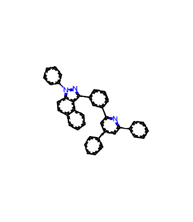 c1ccc(-c2cc(-c3ccccc3)nc(-c3cccc(-c4nn(-c5ccccc5)c5ccc6ccccc6c45)c3)c2)cc1